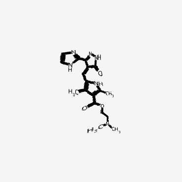 Cc1[nH]c(C=C2C(=O)NN=C2c2ncc[nH]2)c(C)c1C(=O)OCCN(C)C